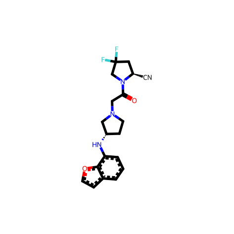 N#C[C@@H]1CC(F)(F)CN1C(=O)CN1CC[C@H](Nc2cccc3ccoc23)C1